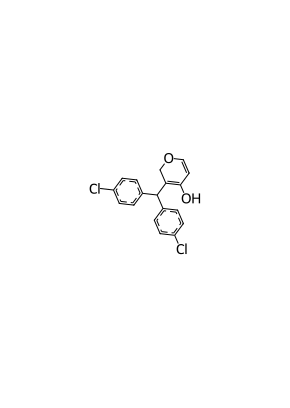 OC1=C(C(c2ccc(Cl)cc2)c2ccc(Cl)cc2)COC=C1